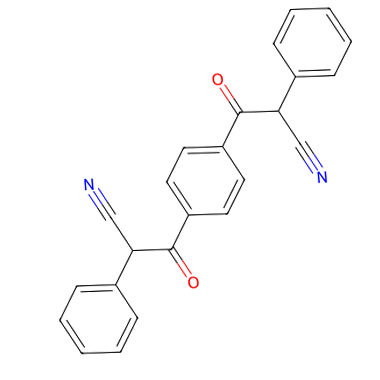 N#CC(C(=O)c1ccc(C(=O)C(C#N)c2ccccc2)cc1)c1ccccc1